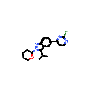 CC(C)c1c2cc(-c3ccnc(Cl)n3)ccc2nn1C1CCCCO1